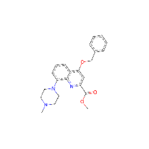 COC(=O)c1cc(OCc2ccccc2)c2cccc(N3CCN(C)CC3)c2n1